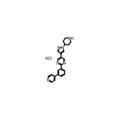 Cl.c1cc(-c2ccncc2)cc(-c2ncc(-c3cnn(C4CCNCC4)c3)cn2)c1